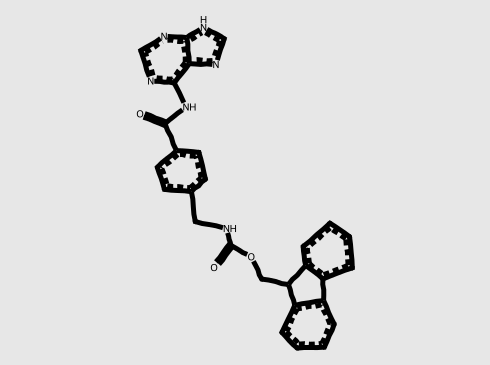 O=C(NCc1ccc(C(=O)Nc2ncnc3[nH]cnc23)cc1)OCC1c2ccccc2-c2ccccc21